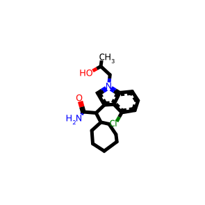 CC(O)Cn1cc(C(C(N)=O)C2CCCCCC2)c2c(Cl)cccc21